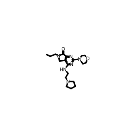 CCCN1Cc2c(NCCN3CCCC3)nc(N3CCOCC3)nc2C1=O